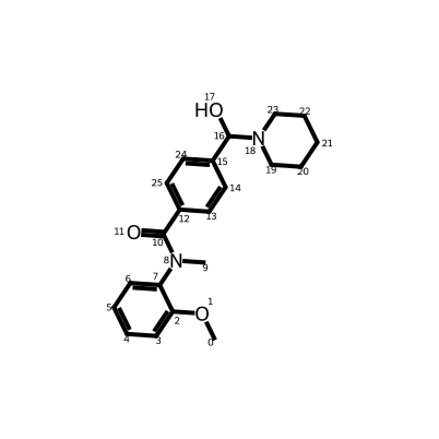 COc1ccccc1N(C)C(=O)c1ccc(C(O)N2CCCCC2)cc1